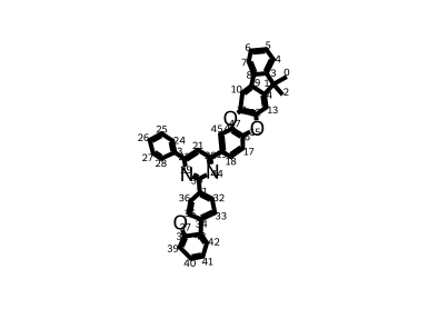 CC1(C)c2ccccc2-c2cc3c(cc21)Oc1ccc(-c2cc(-c4ccccc4)nc(-c4ccc5c(c4)oc4ccccc45)n2)cc1O3